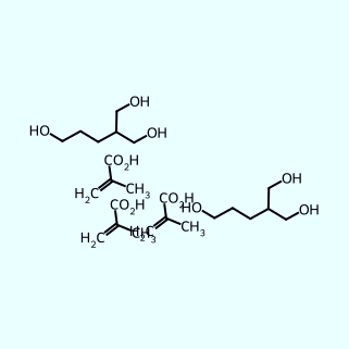 C=C(C)C(=O)O.C=C(C)C(=O)O.C=C(C)C(=O)O.OCCCC(CO)CO.OCCCC(CO)CO